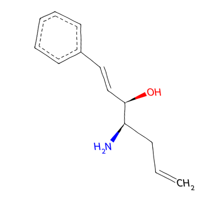 C=CC[C@@H](N)[C@H](O)/C=C/c1ccccc1